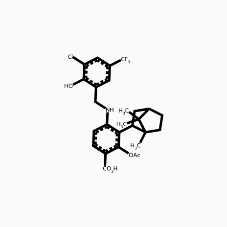 CC(=O)Oc1c(C(=O)O)ccc(NCc2cc(C(F)(F)F)cc(Cl)c2O)c1C1CC2CCC1(C)C2(C)C